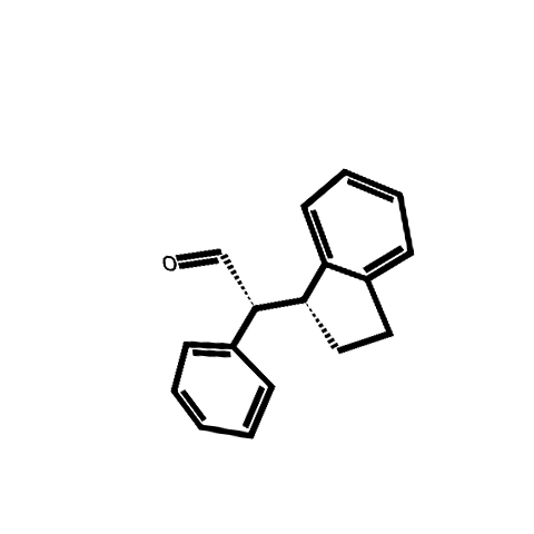 O=C[C@@H](c1ccccc1)[C@H]1CCc2ccccc21